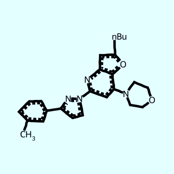 CCCCc1cc2nc(-n3ccc(-c4cccc(C)c4)n3)cc(N3CCOCC3)c2o1